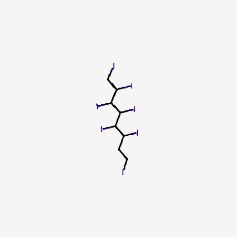 ICCC(I)C(I)C(I)C(I)C(I)CI